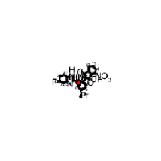 CC(C)c1ccc2c(c1)OC1(O)c3c(cccc3[N+](=O)[O-])C(=O)C21NC(=O)c1nc2cc(F)ccc2[nH]1